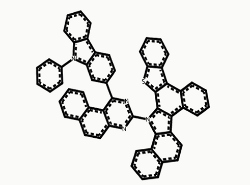 c1ccc(-n2c3ccccc3c3ccc(-c4nc(-n5c6c7ccccc7ccc6c6c7ccccc7c7c8ccccc8sc7c65)nc5ccc6ccccc6c45)cc32)cc1